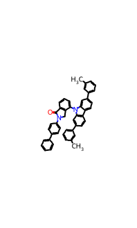 Cc1cccc(-c2ccc3c4ccc(-c5cccc(C)c5)cc4n(-c4cccc5c4CN(c4ccc(-c6ccccc6)cc4)C5=O)c3c2)c1